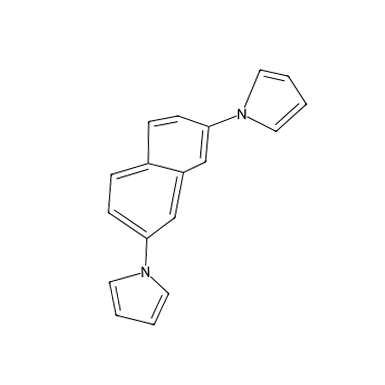 c1ccn(-c2ccc3ccc(-n4cccc4)cc3c2)c1